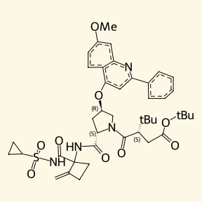 C=C1CCC1(NC(=O)[C@@H]1C[C@@H](Oc2cc(-c3ccccc3)nc3cc(OC)ccc23)CN1C(=O)[C@@H](CC(=O)OC(C)(C)C)C(C)(C)C)C(=O)NS(=O)(=O)C1CC1